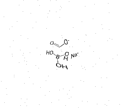 O=C[O-].OB(O)O.[Na+]